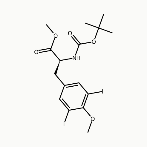 COC(=O)[C@H](Cc1cc(I)c(OC)c(I)c1)NC(=O)OC(C)(C)C